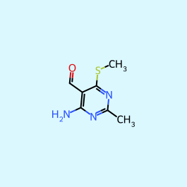 CSc1nc(C)nc(N)c1C=O